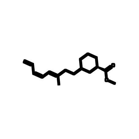 C=C/C=C\C=C(/C)CCC1CCC[C@@H](C(=O)OC)C1